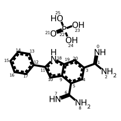 N=C(N)c1cc(C(=N)N)c2cc(-c3ccccc3)[nH]c2c1.O=P(O)(O)O